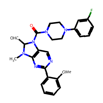 COc1ccccc1-c1ncc2c(n1)N(C)C(C=O)N2C(=O)N1CCN(c2cccc(F)c2)CC1